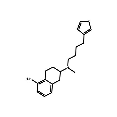 CN(CCCCc1ccsc1)C1CCc2c(N)cccc2C1